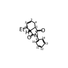 CC[C@@H]1C=CCC2C(=O)N(c3ccccc3)C(=O)[C@@H]21